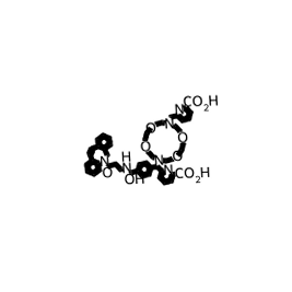 O=C(O)c1cccc(CN2CCOCCOCCN(C(c3ccc(C(O)NCCC(=O)N4Cc5ccccc5C#Cc5ccccc54)cc3)c3cccc(C(=O)O)n3)CCOCCOCC2)n1